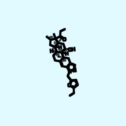 CCC(=O)C1(C)[C@H](C)C[C@H]2[C@@H]3CCC4=Cc5c(cnn5Cc5ccc(CC)o5)C[C@]4(C)[C@H]3[C@@H](O)C[C@@]21C